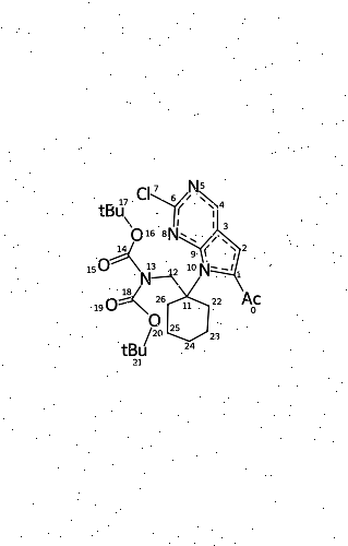 CC(=O)c1cc2cnc(Cl)nc2n1C1(CN(C(=O)OC(C)(C)C)C(=O)OC(C)(C)C)CCCCC1